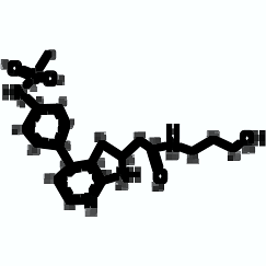 CS(=O)(=O)Nc1ccc(-c2ccnc3c2CC(CC(=O)NCCCO)N3)cc1